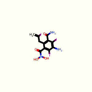 C=C(I)Cc1c(C(N)=O)c(I)c(N)c(I)c1C(=O)N(O)O